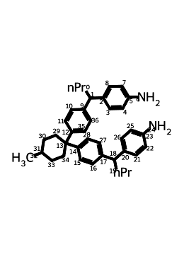 CCCC(c1ccc(N)cc1)c1ccc(C2(c3ccc(C(CCC)c4ccc(N)cc4)cc3)CCC(C)CC2)cc1